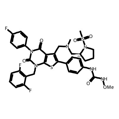 CONC(=O)Nc1ccc(-c2sc3c(c2CN(C)C[C@@H]2CCCN2S(C)(=O)=O)c(=O)n(-c2ccc(F)cc2)c(=O)n3Cc2c(F)cccc2F)cc1